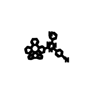 N#Cc1ccc(-c2nc(-c3cccnc3)nc(-c3ccc4c(c3)-c3ccccc3-c3ccccc3C43c4ccccc4-c4ccccc43)n2)cc1